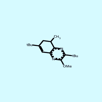 COc1nc2c(nc1C(C)(C)C)C(C)CC(C(C)(C)C)=C2